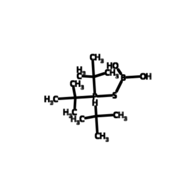 CC(C)(C)[PH](SB(O)O)(C(C)(C)C)C(C)(C)C